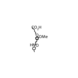 COc1cc(C=CC(=O)NC2CCC(C)CC2)ccc1OCCCCCC(=O)O